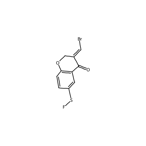 O=C1/C(=C/Br)COc2ccc(SF)cc21